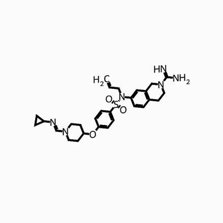 C=CCN(c1ccc2c(c1)CN(C(=N)N)CC2)S(=O)(=O)c1ccc(OC2CCN(C=NC3CC3)CC2)cc1